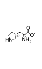 COC(=O)[C@@H](N)C[C@@H]1CCNC1